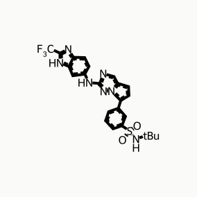 CC(C)(C)NS(=O)(=O)c1cccc(-c2ccc3cnc(Nc4ccc5nc(C(F)(F)F)[nH]c5c4)nn23)c1